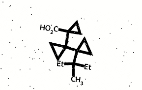 CCC(C)(CC)C1(C2(C3(C(=O)O)CC3)CC2)CC1